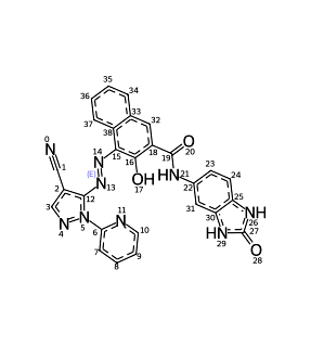 N#Cc1cnn(-c2ccccn2)c1/N=N/c1c(O)c(C(=O)Nc2ccc3[nH]c(=O)[nH]c3c2)cc2ccccc12